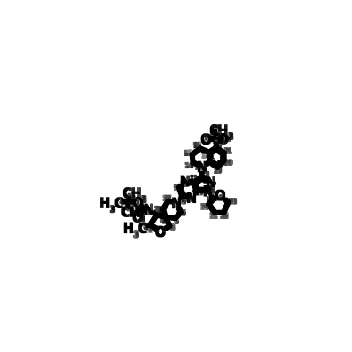 C[C@@H]1OCC2(CCN(c3cnc4c(N5CCCc6c5cccc6S(C)(=O)=O)nn(C5CCCCO5)c4n3)CC2)[C@@H]1NC(=O)OC(C)(C)C